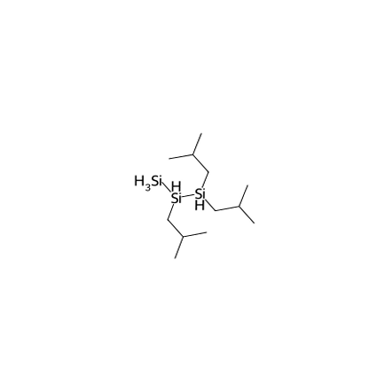 CC(C)C[SiH]([SiH3])[SiH](CC(C)C)CC(C)C